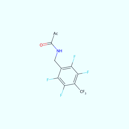 CC(=O)C(=O)NCc1c(F)c(F)c(C(F)(F)F)c(F)c1F